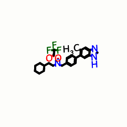 Cc1cc2nc[nH]c2cc1-c1ccc(CN(CCC2CCCCC2)OC(=O)C(F)(F)F)cc1